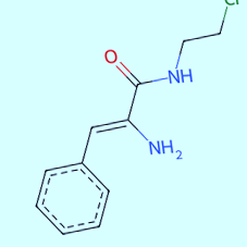 NC(=Cc1ccccc1)C(=O)NCCCl